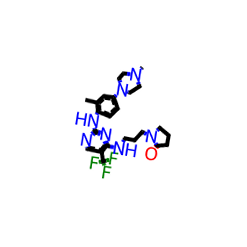 Cc1cc(N2CCN(C)CC2)ccc1Nc1ncc(C(F)(F)F)c(NCCCN2CCCC2=O)n1